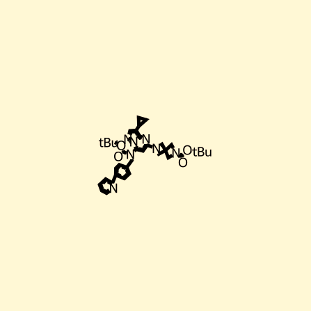 CC(C)(C)OC(=O)N1CC2(C1)CN(c1cc(N(Cc3ccc(-c4ccccn4)cc3)C(=O)OC(C)(C)C)n3ncc(C4CC4)c3n1)C2